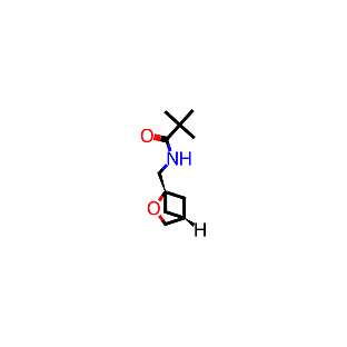 CC(C)(C)C(=O)NC[C@]12C[C@H](CO1)C2